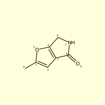 Cc1cc2c(o1)CNC2=O